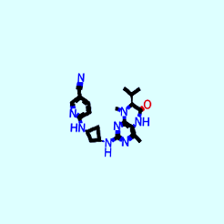 Cc1nc(N[C@H]2C[C@@H](Nc3ccc(C#N)cn3)C2)nc2c1NC(=O)[C@H](C(C)C)N2C